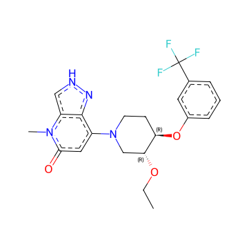 CCO[C@@H]1CN(c2cc(=O)n(C)c3c[nH]nc23)CC[C@H]1Oc1cccc(C(F)(F)F)c1